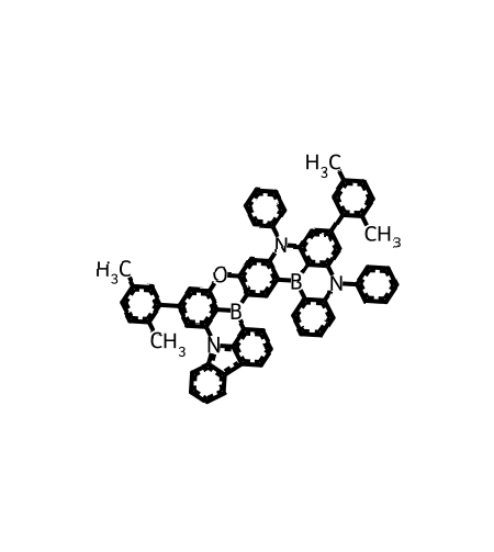 Cc1ccc(C)c(-c2cc3c4c(c2)N(c2ccccc2)c2cc5c(cc2B4c2ccccc2N3c2ccccc2)B2c3c(cc(-c4cc(C)ccc4C)cc3-n3c4ccccc4c4cccc2c43)O5)c1